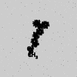 CCOC(=O)CCN1CCc2cc(-c3cnc(-c4cccc(CN(Cc5ncccn5)Cc5ncccn5)n4)s3)ccc21